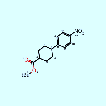 CC(C)(C)OC(=O)C1CCC(c2ccc([N+](=O)[O-])cc2)CC1